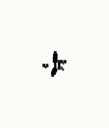 CC(=O)O.N#CC#N.S